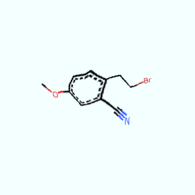 COc1ccc(CCBr)c(C#N)c1